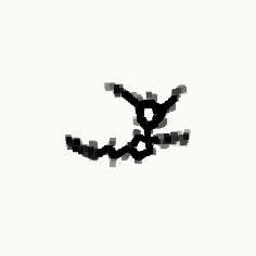 COCCN1CCC(O)(c2cc(F)cc(F)c2)C1